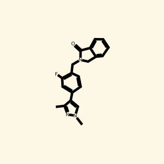 Cc1nn(C)cc1-c1ccc(CN2Cc3ccccc3C2=O)c(F)c1